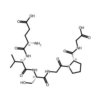 CC(C)[C@H](NC(=O)[C@@H](N)CCC(=O)O)C(=O)N[C@@H](CO)C(=O)NCC(=O)N1CCC[C@H]1C(=O)NCC(=O)O